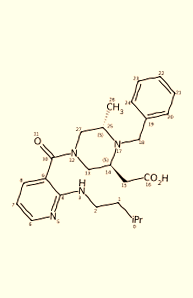 CC(C)CCNc1ncccc1C(=O)N1C[C@H](CC(=O)O)N(Cc2ccccc2)[C@@H](C)C1